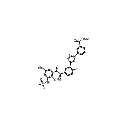 COC(=O)c1cncc(-n2cc(-c3cc(C(=O)Nc4cc(C(C)(C)C)cc(NS(C)(=O)=O)c4OC)ccc3C)nn2)c1